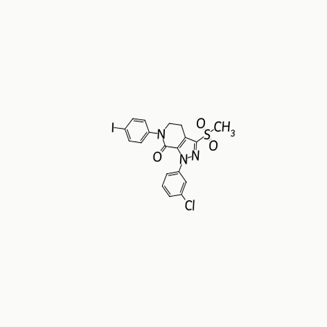 CS(=O)(=O)c1nn(-c2cccc(Cl)c2)c2c1CCN(c1ccc(I)cc1)C2=O